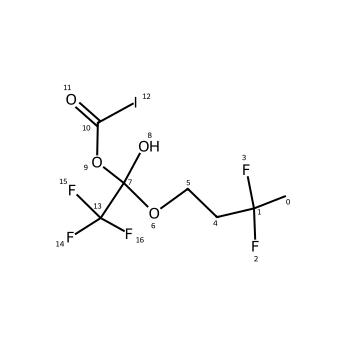 CC(F)(F)CCOC(O)(OC(=O)I)C(F)(F)F